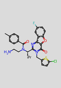 Cc1ccc(C(=O)N(CCN)[C@@H](c2nc3c(oc4ccc(F)cc43)c(=O)n2Cc2ccc(Cl)s2)C(C)C)cc1